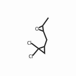 CC1OC1CC1CC1(Cl)Cl